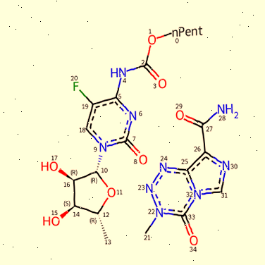 CCCCCOC(=O)Nc1nc(=O)n([C@@H]2O[C@H](C)[C@@H](O)[C@H]2O)cc1F.Cn1nnc2c(C(N)=O)ncn2c1=O